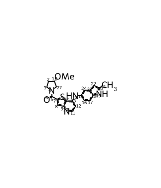 CO[C@H]1CCN(C(=O)c2cc3nccc(Nc4ccc5[nH]c(C)cc5c4)c3s2)C1